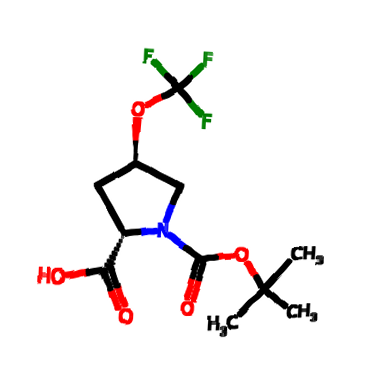 CC(C)(C)OC(=O)N1C[C@H](OC(F)(F)F)C[C@H]1C(=O)O